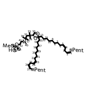 CCCCC/C=C\C/C=C\CCCCCCCCC1(CCCCCCCC/C=C\C/C=C\CCCCC)OC[C@H](C(C)(C)CC(C)(C)N(C)CCOP(=O)(O)OC)O1